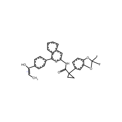 C/C=C(/O)c1ccc(-c2nc(NC(=O)C3(c4ccc5c(c4)OC(F)(F)O5)CC3)cc3ccccc23)cc1